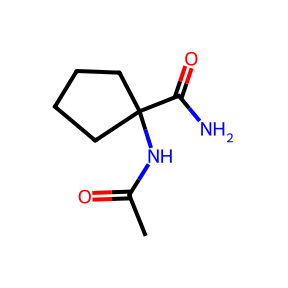 CC(=O)NC1(C(N)=O)CCCC1